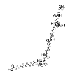 CC(=O)CCCNC(=O)CCC(NC(=O)COCCOCCNC(=O)COCCOCCNC(=O)CC[C@H](NC(=O)CCCCCCCCCCCCCCC(=O)O)C(=O)O)ONO